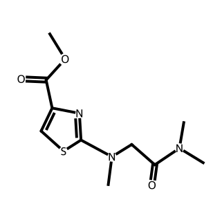 COC(=O)c1csc(N(C)CC(=O)N(C)C)n1